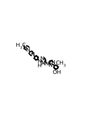 Cc1ccc(O)cc1-c1nccc(Nc2ccnc(Nc3ccc(N4CCC(N5CCN(C)CC5)CC4)cc3)n2)n1